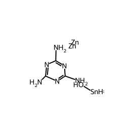 Nc1nc(N)nc(N)n1.[OH][SnH].[Zn].[Zn]